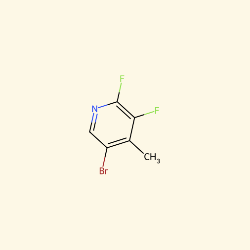 Cc1c(Br)cnc(F)c1F